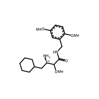 COc1ccc(OC)c(CNC(=O)C(OC)[C@H](N)CC2CCCCC2)c1